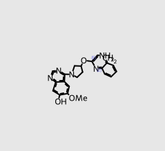 C=C1C=CC=C/C1=N/C(=C\N)OC1CCN(c2ncnc3cc(O)c(OC)cc23)C1